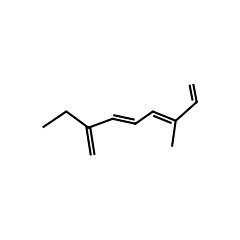 C=CC(C)=CC=CC(=C)CC